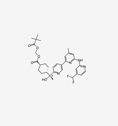 Cc1cc(Nc2cc(C(F)F)ccn2)nc(-c2ccc([C@](C)(O)[C@H]3CC[C@H](C(=O)OCOC(=O)C(C)(C)C)CC3)nc2)c1